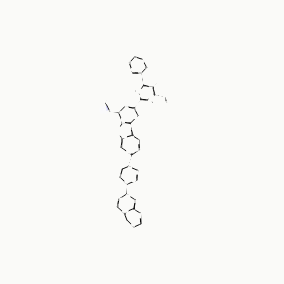 C=Cc1nc(-c2cc(/C=C\CC)c3oc4cc(-c5ccc(-c6ccc7ccccc7c6)cc5)ccc4c3c2)nc(-c2ccccc2)c1CC